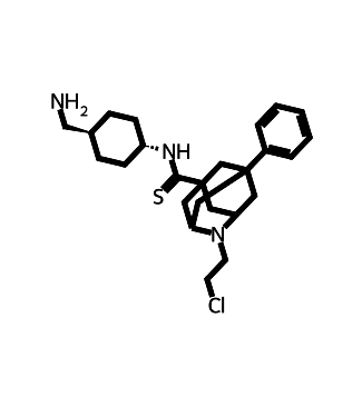 NC[C@H]1CC[C@H](NC(=S)C23CC4CC(c5ccccc5)(CC(C2)N4CCCl)C3)CC1